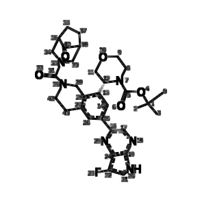 CC(C)(C)OC(=O)N1CCOC[C@H]1c1cc(-c2cnc3[nH]cc(F)c3n2)cc2c1CN(C(=O)N1CC3CCC(C1)C3=O)CC2